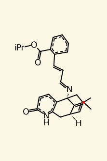 C/C=C1\[C@H]2C=C(C)C[C@]1(N=CC=Cc1ccccc1C(=O)OC(C)C)c1ccc(=O)[nH]c1C2